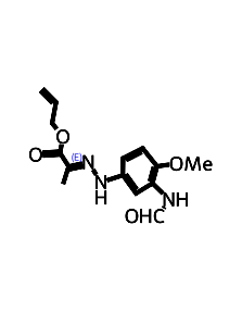 C=CCOC(=O)/C(C)=N/Nc1ccc(OC)c(NC=O)c1